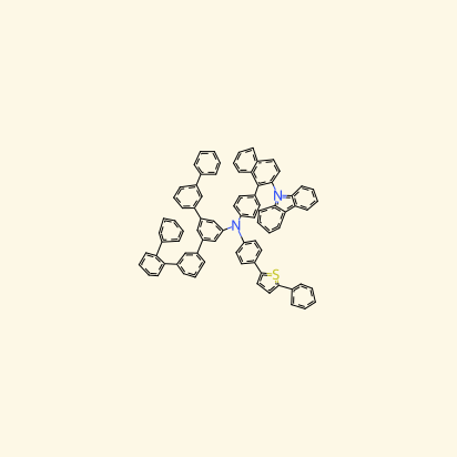 c1ccc(-c2cccc(-c3cc(-c4cccc(-c5ccccc5-c5ccccc5)c4)cc(N(c4ccc(-c5ccc(-c6ccccc6)s5)cc4)c4ccc(-c5c(-n6c7ccccc7c7ccccc76)ccc6ccccc56)cc4)c3)c2)cc1